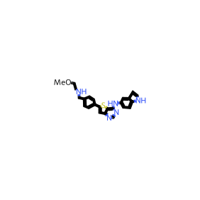 COCCNCc1ccc(-c2cc3ncnc(Nc4ccc5[nH]ccc5c4)c3s2)cc1